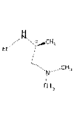 CCN[C@@H](C)CN(C)C